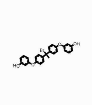 CCC(C)(c1ccc(Oc2cccc(O)c2)cc1)c1ccc(Oc2cccc(O)c2)cc1